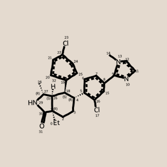 CC[C@@]12CC[C@@H](c3ccc(-c4nccn4C)cc3Cl)[C@H](c3ccc(Cl)cc3)[C@@H]1[C@@H](C)NC2=O